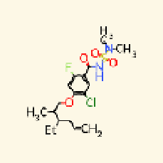 C=CCC(CC)C(C)COc1cc(F)c(C(=O)NS(=O)(=O)N(C)C)cc1Cl